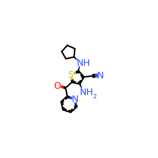 N#Cc1c(NC2CCCC2)sc(C(=O)c2ccccn2)c1N